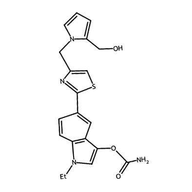 CCn1cc(OC(N)=O)c2cc(-c3nc(Cn4cccc4CO)cs3)ccc21